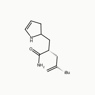 C=C(C[C@@H](CC1CC=CN1)C(N)=O)[C@@H](C)CC